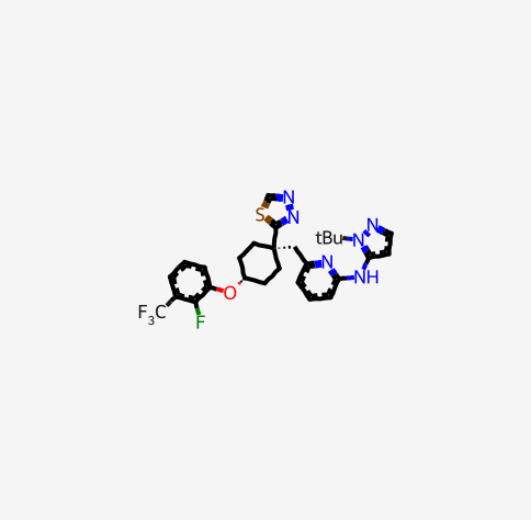 CC(C)(C)n1nccc1Nc1cccc(C[C@]2(c3nncs3)CC[C@H](Oc3cccc(C(F)(F)F)c3F)CC2)n1